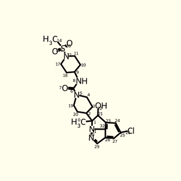 CC1(C2CCN(C(=O)NC3CCN(S(C)(=O)=O)CC3)CC2)C(O)c2cc(Cl)cc3cnn1c23